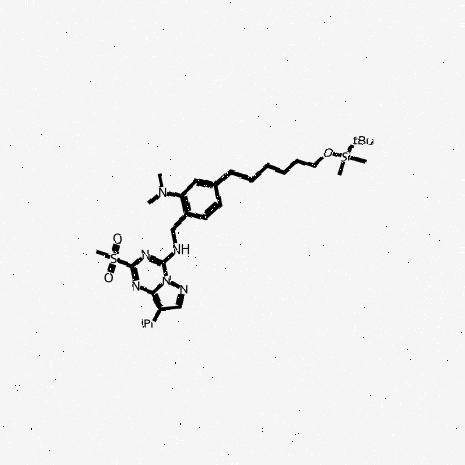 CC(C)c1cnn2c(NCc3ccc(CCCCCCO[Si](C)(C)C(C)(C)C)cc3N(C)C)nc(S(C)(=O)=O)nc12